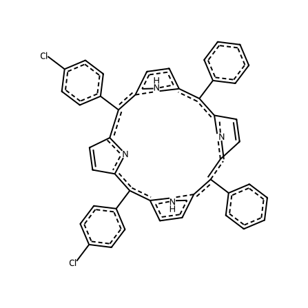 Clc1ccc(-c2c3nc(c(-c4ccc(Cl)cc4)c4ccc([nH]4)c(-c4ccccc4)c4nc(c(-c5ccccc5)c5ccc2[nH]5)C=C4)C=C3)cc1